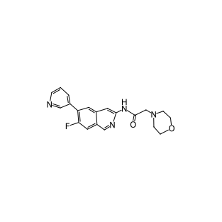 O=C(CN1CCOCC1)Nc1cc2cc(-c3cccnc3)c(F)cc2cn1